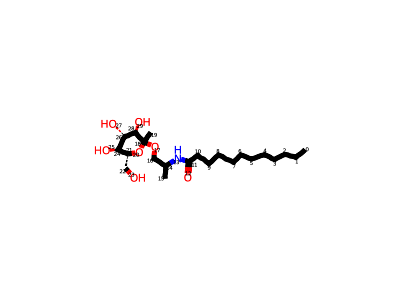 CCCCCCCCCCCC(=O)NC(C)COC1(C)O[C@H](CO)[C@@H](O)[C@H](O)[C@H]1O